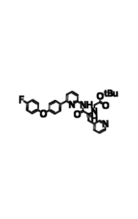 CC(C)(C)OC(=O)CN[C@@H](Cc1cccnc1)C(=O)Nc1cccc(-c2ccc(Oc3ccc(F)cc3)cc2)n1